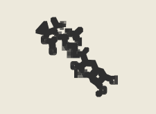 COc1cc2[nH]c(=O)c([C@H](C)Nc3nc(C)nc(N4C(=O)OC5(CC5)[C@@H]4C(C)F)n3)cc2cc1Cl